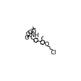 CCc1cc(OCCCCCl)ccc1-c1ccc(CC(NC(=O)OC(C)(C)C)C(=O)OC)cc1